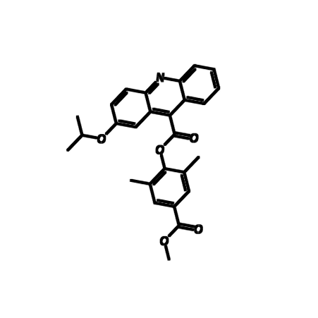 COC(=O)c1cc(C)c(OC(=O)c2c3ccccc3nc3ccc(OC(C)C)cc23)c(C)c1